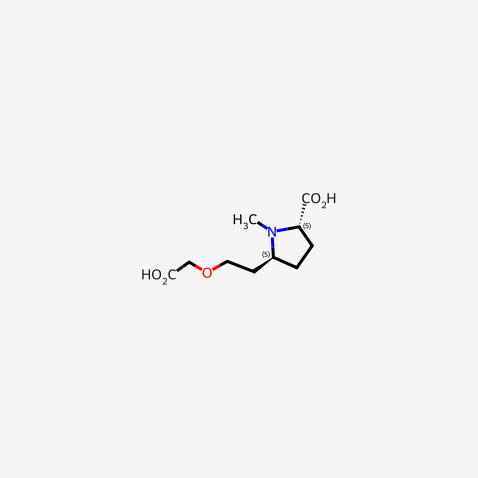 CN1[C@H](CCOCC(=O)O)CC[C@H]1C(=O)O